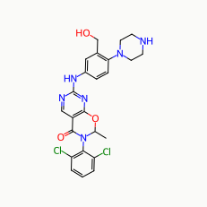 CC1Oc2nc(Nc3ccc(N4CCNCC4)c(CO)c3)ncc2C(=O)N1c1c(Cl)cccc1Cl